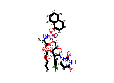 CCCCCOC(=O)[C@H](C)NP(=O)(OC[C@H]1O[C@@H](n2ccc(=O)[nH]c2=O)[C@@](O)(C#CCl)[C@@H]1O)Oc1cccc2ccccc12